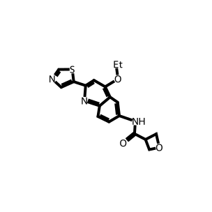 CCOc1cc(-c2cncs2)nc2ccc(NC(=O)C3COC3)cc12